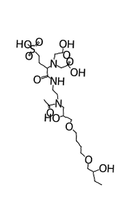 CCC(O)COCCCCOCC(O)CN(CCNC(=O)C(CCS(=O)(=O)O)N(CC(=O)O)CC(=O)O)C(C)=O